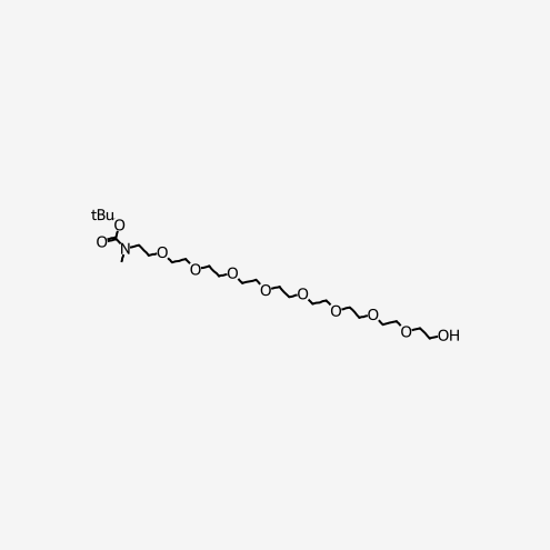 CN(CCOCCOCCOCCOCCOCCOCCOCCOCCO)C(=O)OC(C)(C)C